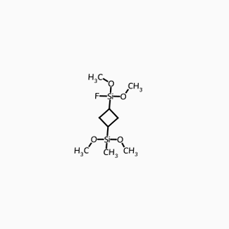 CO[Si](C)(OC)C1CC([Si](F)(OC)OC)C1